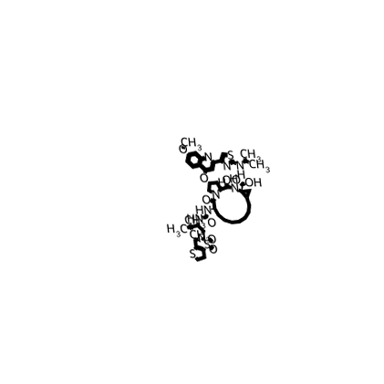 COc1ccc2c(O[C@@H]3C[C@H]4C(=O)N[C@]5(C(=O)O)CC5CCCCCCC[C@H](NC(=O)NC(CN5CC6=C(CCS6)S5(=O)=O)C(C)(C)C)C(=O)N4C3)cc(-c3csc(NC(C)C)n3)nc2c1